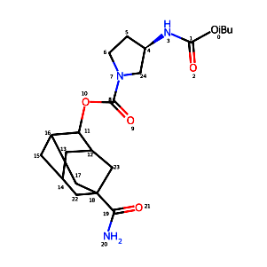 CC(C)COC(=O)N[C@@H]1CCN(C(=O)OC2C3CC4CC2CC(C(N)=O)(C4)C3)C1